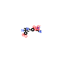 CCC(N(C)CCc1ccc(OCC(CN(C)C)O[N+](=O)[O-])c(OC)c1)C(C#N)(c1ccc(OC)c(OC)c1)C(C)C